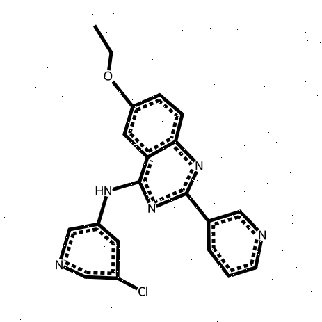 CCOc1ccc2nc(-c3cccnc3)nc(Nc3cncc(Cl)c3)c2c1